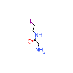 NCC(=O)NCCI